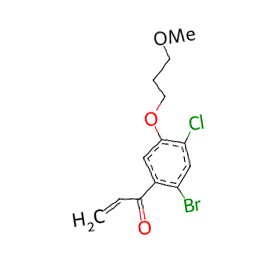 C=CC(=O)c1cc(OCCCOC)c(Cl)cc1Br